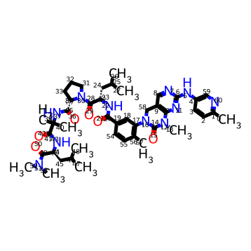 Cc1ccc(Nc2ncc3c(n2)N(C)C(=O)N(c2cc(C(=O)N[C@@H](CC(C)C)C(=O)N4CCC[C@H]4C(=O)NC(C)(C)C(=O)N[C@@H](CC(C)C)C(=O)N(C)C)ccc2C)C3)cn1